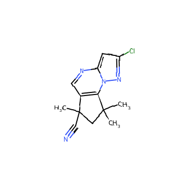 CC1(C)CC(C)(C#N)c2cnc3cc(Cl)nn3c21